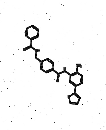 Nc1ccc(-c2cccs2)cc1NC(=O)c1ccc(CNC(=O)c2ccccc2)cc1